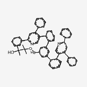 CC(C)(O)C(C)(C)OBc1cc(-c2ccccc2-c2cnc(-c3ccccc3)cc2-c2ccccc2)cc(-c2ccccc2-c2cnc(-c3ccccc3)cc2-c2ccccc2)c1